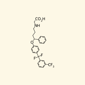 O=C(O)CNCCCC(Oc1ccc(C(F)(F)c2cccc(C(F)(F)F)c2)cc1)c1ccccc1